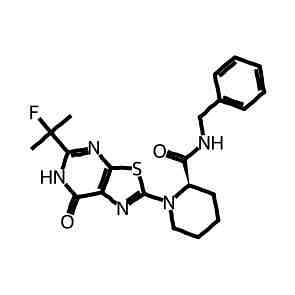 CC(C)(F)c1nc2sc(N3CCCC[C@@H]3C(=O)NCc3ccccc3)nc2c(=O)[nH]1